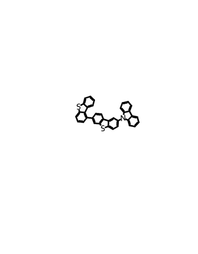 c1ccc2c(c1)sc1cccc(-c3ccc4c(c3)sc3ccc(-n5c6ccccc6c6ccccc65)cc34)c12